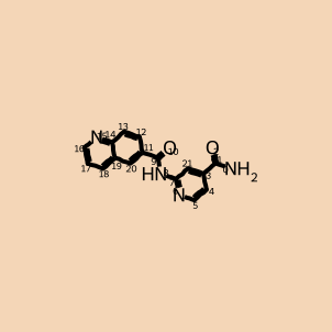 NC(=O)c1ccnc(NC(=O)c2ccc3ncccc3c2)c1